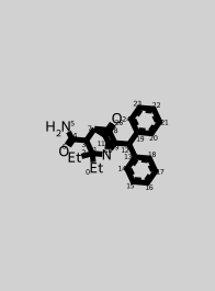 CCC1(CC)C(C(N)=O)C2CCN1C(C(c1ccccc1)c1ccccc1)C2=O